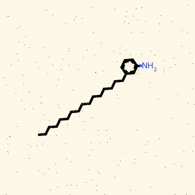 CCCCCCCCCCCCCCCCc1cccc(N)c1